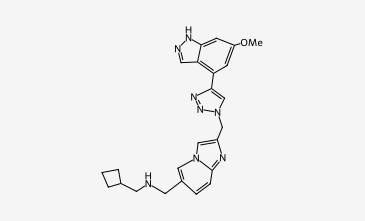 COc1cc(-c2cn(Cc3cn4cc(CNCC5CCC5)ccc4n3)nn2)c2cn[nH]c2c1